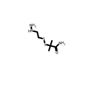 CC(C)(SSCCNN)C(N)=O